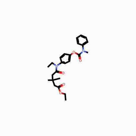 CCOC(=O)CC(C)(C)CC(=O)N(CC)c1ccc(OC(=O)N(C)c2ccccc2)cc1